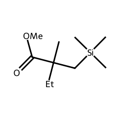 CCC(C)(C[Si](C)(C)C)C(=O)OC